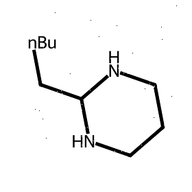 CCCCCC1NCCCN1